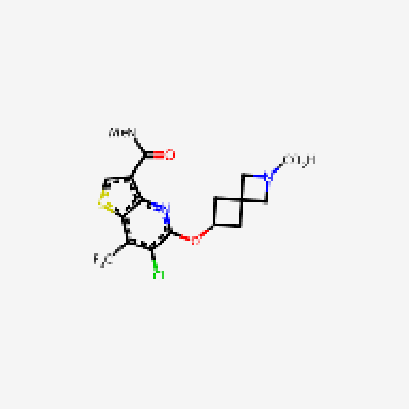 CNC(=O)c1csc2c(C(F)(F)F)c(Cl)c(OC3CC4(C3)CN(C(=O)O)C4)nc12